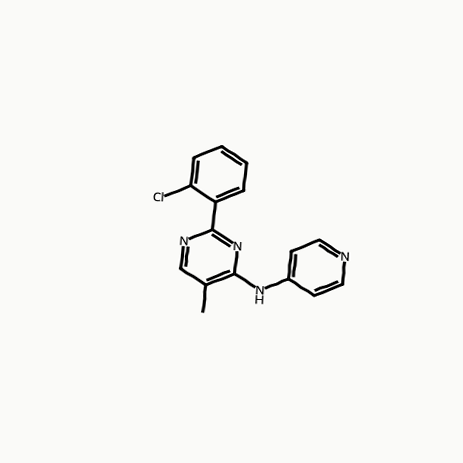 Cc1cnc(-c2ccccc2Cl)nc1Nc1ccncc1